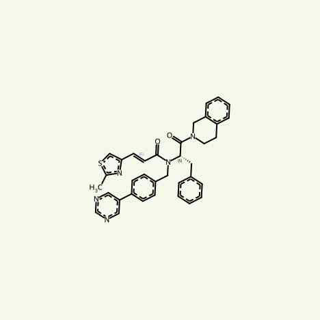 Cc1nc(/C=C/C(=O)N(Cc2ccc(-c3cncnc3)cc2)[C@@H](Cc2ccccc2)C(=O)N2CCc3ccccc3C2)cs1